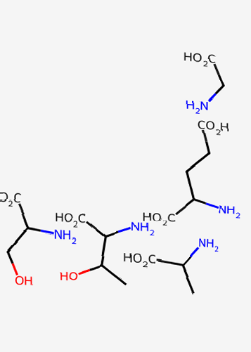 CC(N)C(=O)O.CC(O)C(N)C(=O)O.NC(CCC(=O)O)C(=O)O.NC(CO)C(=O)O.NCC(=O)O